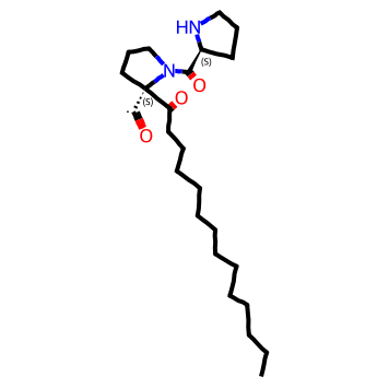 CCCCCCCCCCCCCC(=O)[C@@]1([C]=O)CCCN1C(=O)[C@@H]1CCCN1